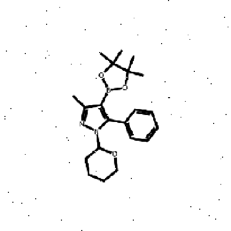 Cc1nn(C2CCCCO2)c(-c2ccccc2)c1B1OC(C)(C)C(C)(C)O1